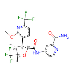 COc1nc(C(F)(F)F)ccc1[C@H]1[C@@H](C(=O)Nc2ccnc(C(N)=O)c2)O[C@](C)(C(F)(F)F)[C@@H]1C